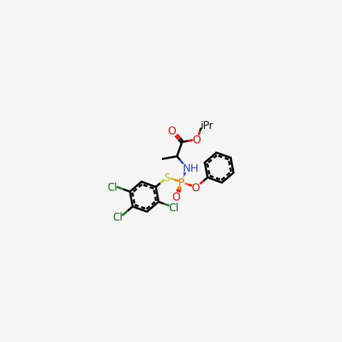 CC(C)OC(=O)C(C)N[P@](=O)(Oc1ccccc1)Sc1cc(Cl)c(Cl)cc1Cl